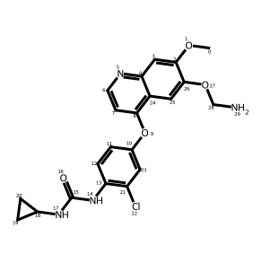 COc1cc2nccc(Oc3ccc(NC(=O)NC4CC4)c(Cl)c3)c2cc1OCN